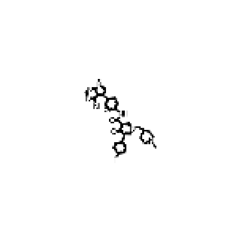 CN1CCC(Cn2cc(C(=O)Nc3ccc(-c4cn(C)c5ncnc(N)c45)cc3)c(=O)c(-c3ccc(F)cc3)c2)CC1